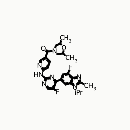 Cc1nc2c(F)cc(-c3nc(Nc4ccc(C(=O)N5CC(C)OC(C)C5)cn4)ncc3F)cc2n1C(C)C